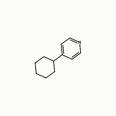 c1cc(C2CCCCC2)ccn1